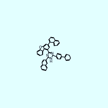 C1=CC(c2ccc(C3N=C(c4cc(-c5cccc6ccccc56)cc5oc6ccccc6c45)N=C(c4ccc5ccccc5c4)N3)cc2)=CCC1